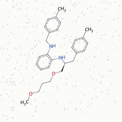 COCCCOC[C@H](Cc1ccc(C)cc1)Nc1ccccc1NCc1ccc(C)cc1